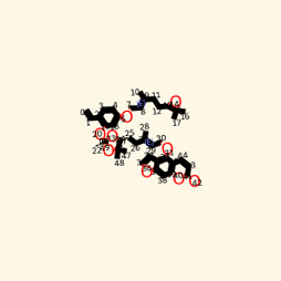 C=Cc1ccc(OC/C=C(\C)CCC2OC2(C)C)cc1O[C@@]1(C)O[C@H](CC/C(C)=C/COc2c3ccoc3cc3oc(=O)ccc23)C(C)(C)O1